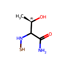 C[C@@H](O)C(NS)C(N)=O